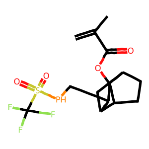 C=C(C)C(=O)OC12C3CCC1C(C3)C2CPS(=O)(=O)C(F)(F)F